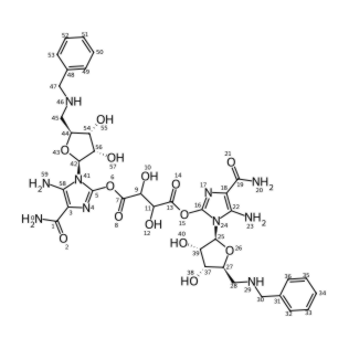 NC(=O)c1nc(OC(=O)C(O)C(O)C(=O)Oc2nc(C(N)=O)c(N)n2[C@H]2O[C@@H](CNCc3ccccc3)[C@H](O)[C@@H]2O)n([C@H]2O[C@@H](CNCc3ccccc3)[C@H](O)[C@@H]2O)c1N